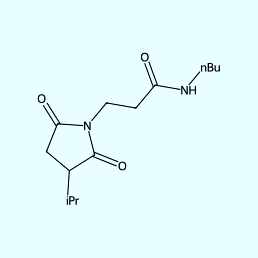 CCCCNC(=O)CCN1C(=O)CC(C(C)C)C1=O